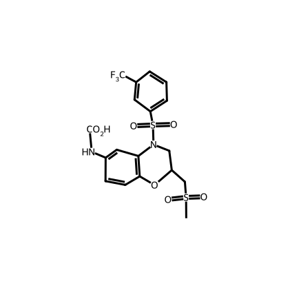 CS(=O)(=O)CC1CN(S(=O)(=O)c2cccc(C(F)(F)F)c2)c2cc(NC(=O)O)ccc2O1